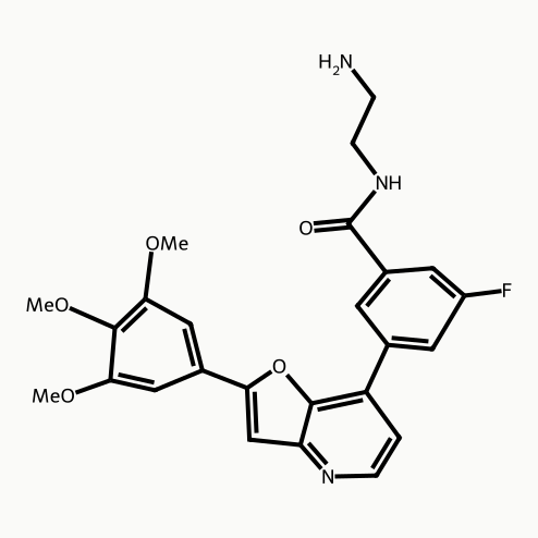 COc1cc(-c2cc3nccc(-c4cc(F)cc(C(=O)NCCN)c4)c3o2)cc(OC)c1OC